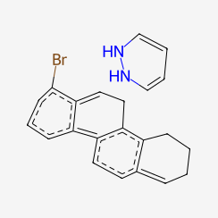 Brc1cccc2c1=CCc1c3c(ccc1=2)=CCCC3.C1=CNNC=C1